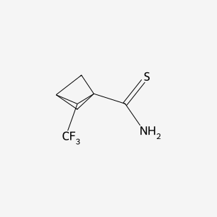 NC(=S)C12CC(C1)C2C(F)(F)F